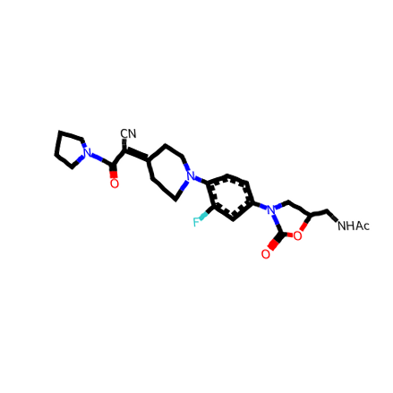 CC(=O)NCC1CN(c2ccc(N3CCC(=C(C#N)C(=O)N4CCCC4)CC3)c(F)c2)C(=O)O1